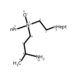 CCCCCCCCC[N+]([O-])(CCC)CCC(C)N